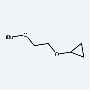 CCC(C)OCCOC1CC1